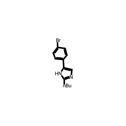 CCCCc1ncc(-c2ccc(Br)cc2)[nH]1